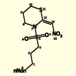 CCCCCCCCCCCCS(=O)(=O)N1CCCSC1=C[N+](=O)[O-]